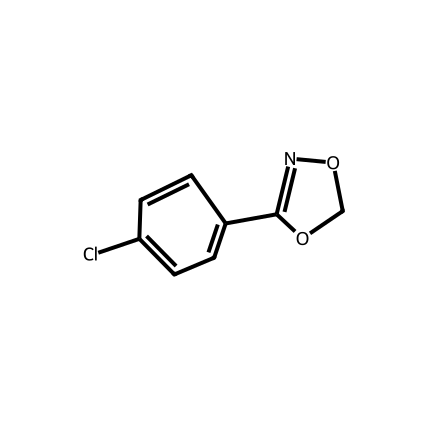 Clc1ccc(C2=NOCO2)cc1